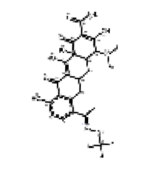 C/C(=N\OC(C)(C)C)c1ccc(O)c2c1CC1CC3C(N(C)C)C(O)=C(C(N)=O)C(=O)C3(O)C(O)=C1C2=O